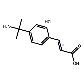 CC(C)(N)c1ccc(/C=C/C(=O)O)cc1.Cl